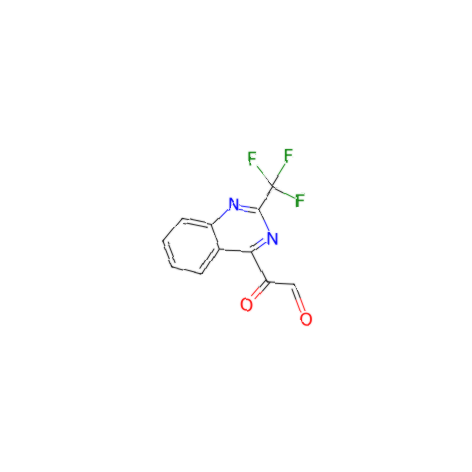 O=CC(=O)c1nc(C(F)(F)F)nc2ccccc12